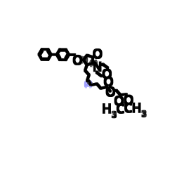 CC1(C)OCC(COC(=O)CC/C=C\CCC2[C@@H](OCc3ccc(-c4ccccc4)cc3)CC(=O)[C@@H]2N2CCOCC2)O1